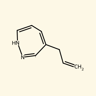 C=CCC1=CC=CNN=[C]1